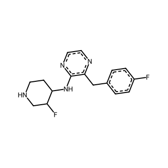 Fc1ccc(Cc2nccnc2NC2CCNCC2F)cc1